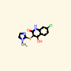 Cn1ccnc1Sc1c(O)c2ccc(Cl)cc2[nH]c1=O